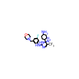 NC1CCC(C2(N)NC(Nc3cc(F)cc(CN4CCOCC4)c3)=NC=C2C(F)(F)F)CC1